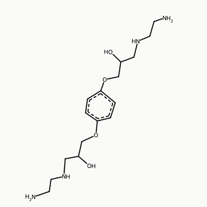 NCCNCC(O)COc1ccc(OCC(O)CNCCN)cc1